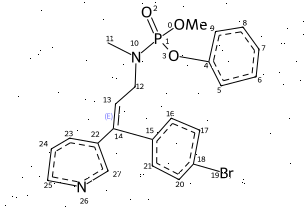 COP(=O)(Oc1ccccc1)N(C)C/C=C(\c1ccc(Br)cc1)c1cccnc1